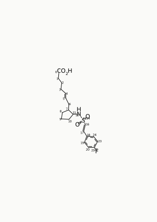 O=C(O)CCCC=CCC1CCCC1NS(=O)(=O)C=Cc1ccc(F)cc1